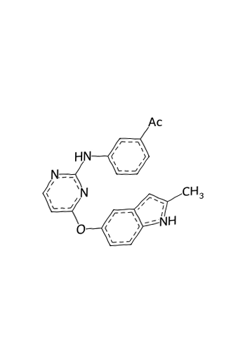 CC(=O)c1cccc(Nc2nccc(Oc3ccc4[nH]c(C)cc4c3)n2)c1